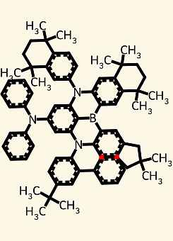 CC1(C)Cc2cc3c(cc2C1)N(c1ccc(C(C)(C)C)cc1-c1ccccc1)c1cc(N(c2ccccc2)c2ccccc2)cc2c1B3c1cc3c(cc1N2c1ccc2c(c1)C(C)(C)CCC2(C)C)C(C)(C)CCC3(C)C